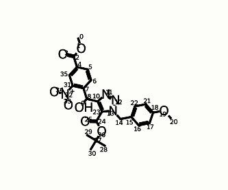 COC(=O)c1ccc(C(O)c2nnn(Cc3ccc(OC)cc3)c2C(=O)OC(C)(C)C)c([N+](=O)[O-])c1